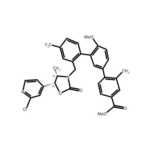 COC(=O)c1ccc(-c2ccc(OC)c(-c3ccc(C(F)(F)F)cc3CN3C(=O)O[C@H](c4ccnc(Cl)c4)[C@@H]3C)c2)c(C)c1